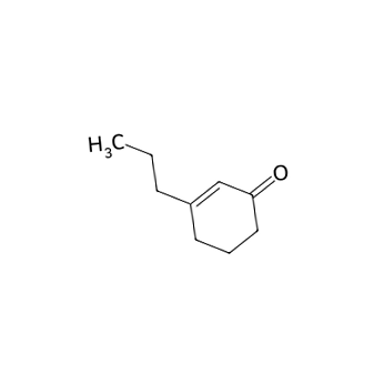 CCCC1=CC(=O)CCC1